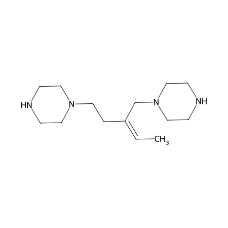 CC=C(CCN1CCNCC1)CN1CCNCC1